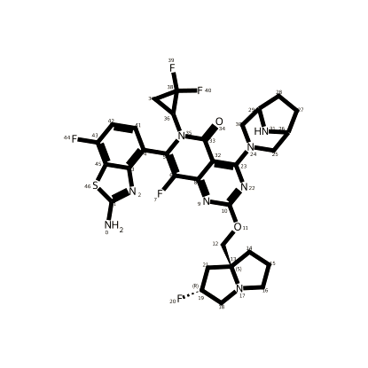 Nc1nc2c(-c3c(F)c4nc(OC[C@@]56CCCN5C[C@H](F)C6)nc(N5CC6CCC(C5)N6)c4c(=O)n3C3CC3(F)F)ccc(F)c2s1